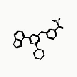 C=C(c1cccc(Cc2cc(-c3cccc4c3C=CC4)cc(C3CCCCC3)c2)c1)N(C)C